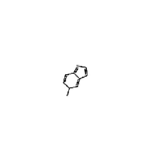 CC1C=CC2=NC=CC2=C1